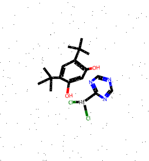 CC(C)(C)c1cc(C(C)(C)C)c(O)[c]c1O.[Cl][Hf]([Cl])[c]1ncncn1